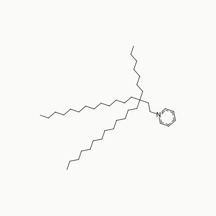 CCCCCCCCCCCCCC(CCCCCCC)(CCCCCCCCCCCCC)CC[n+]1ccccc1